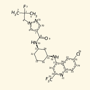 CC(C)(F)Cn1cc(C(=O)N[C@@H]2CCC[C@H](Nc3cc(C(F)(F)F)nc4ccc(Cl)cc34)C2)cn1